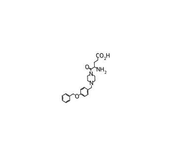 NC(CCC(=O)O)C(=O)N1CCN(Cc2ccc(OCc3ccccc3)cc2)CC1